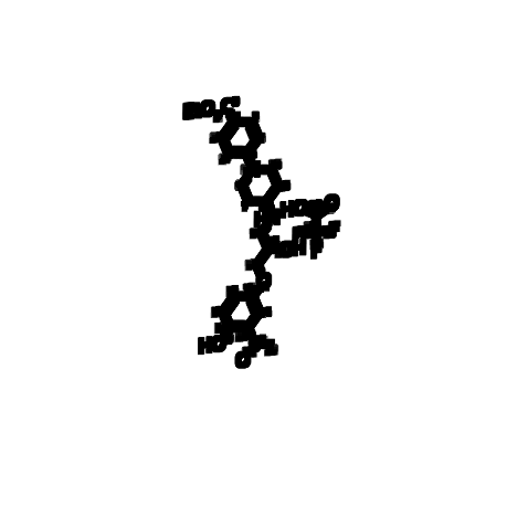 CCOC(=O)c1ccc(N2CCC(NCC(O)COc3ccc(O)c([S+](C)[O-])c3)CC2)cc1.O=C(O)C(F)(F)F